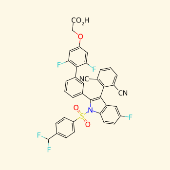 N#Cc1cccc(C#N)c1-c1c(-c2cccc(-c3c(F)cc(OCC(=O)O)cc3F)c2)n(S(=O)(=O)c2ccc(C(F)F)cc2)c2ccc(F)cc12